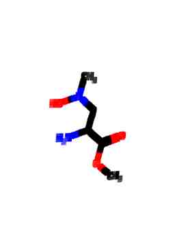 COC(=O)C(N)CN(C)O